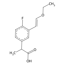 CCO/C=C/c1cc(C(C)C(=O)O)ccc1F